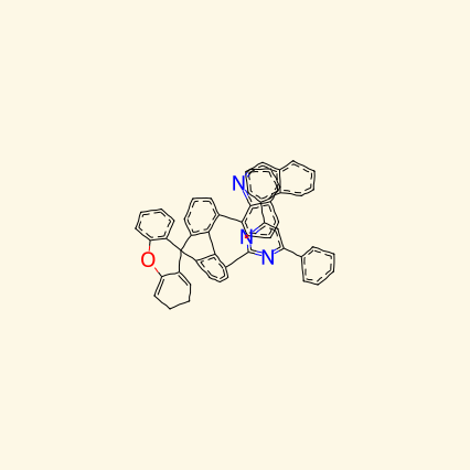 C1=C2Oc3ccccc3C3(C2=CCC1)c1cccc(-c2nc(-c4ccccc4)cc(-c4cccc5ccccc45)n2)c1-c1c(-c2cccc4cccnc24)cccc13